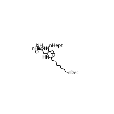 CCCCCCCCCCCCCCCCCC(=O)N[C@@H](CCC(N)=O)C(=O)N(CCCCCCC)CCCCCCC